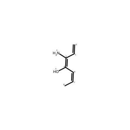 C=C/C(N)=C(O)\C=C/C